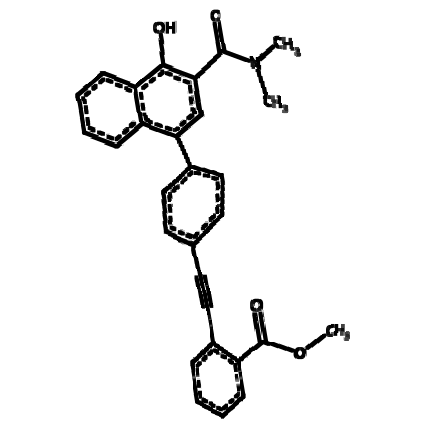 COC(=O)c1ccccc1C#Cc1ccc(-c2cc(C(=O)N(C)C)c(O)c3ccccc23)cc1